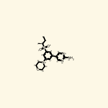 CC[C@H](C)S(=O)(=O)c1cc(-c2cnc(N)nc2)cc(N2CCOCC2)c1